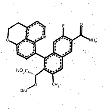 Cc1cc2cc(C(N)=O)c(F)cc2c(-c2ccc3c4c(ccnc24)CCO3)c1[C@H](OC(C)(C)C)C(=O)O